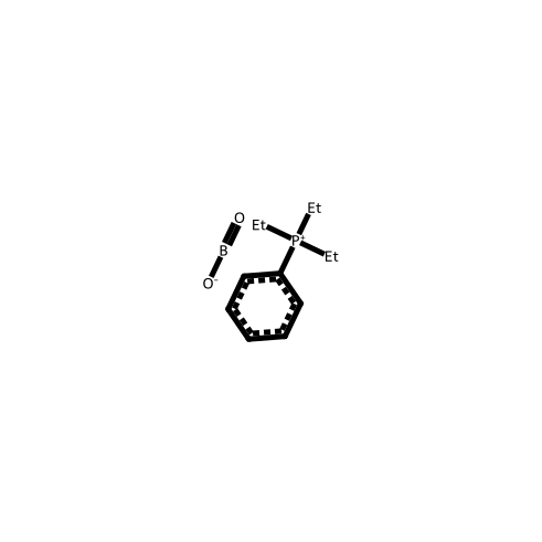 CC[P+](CC)(CC)c1ccccc1.O=B[O-]